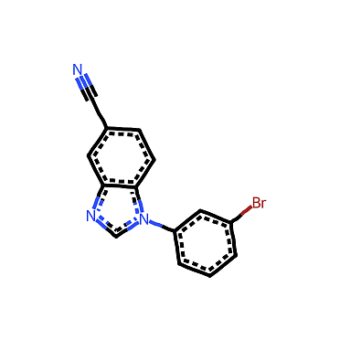 N#Cc1ccc2c(c1)ncn2-c1cccc(Br)c1